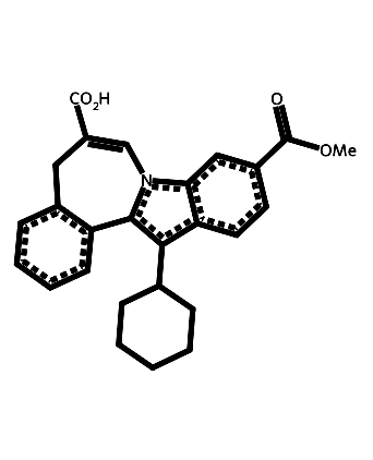 COC(=O)c1ccc2c(C3CCCCC3)c3n(c2c1)C=C(C(=O)O)Cc1ccccc1-3